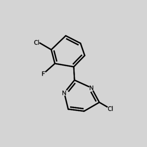 Fc1c(Cl)cccc1-c1nccc(Cl)n1